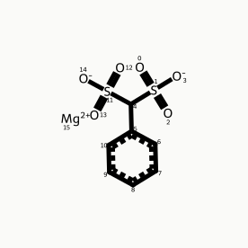 O=S(=O)([O-])C(c1ccccc1)S(=O)(=O)[O-].[Mg+2]